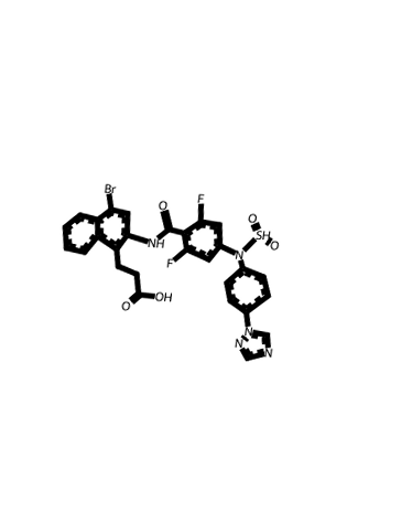 O=C(O)CCc1c(NC(=O)c2c(F)cc(N(c3ccc(-n4cncn4)cc3)[SH](=O)=O)cc2F)cc(Br)c2ccccc12